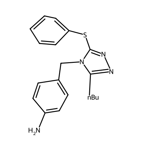 CCCCc1nnc(Sc2ccccc2)n1Cc1ccc(N)cc1